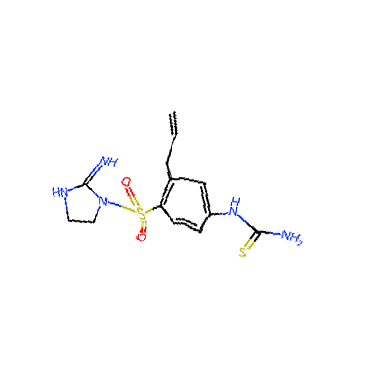 C=CCc1cc(NC(N)=S)ccc1S(=O)(=O)N1CCNC1=N